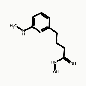 CNc1cccc(CCCC(=N)NO)n1